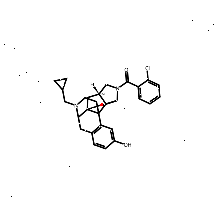 O=C(c1ccccc1Cl)N1C[C@H]2CC34CCC1C2C31CCN(CC2CC2)C4Cc2ccc(O)cc21